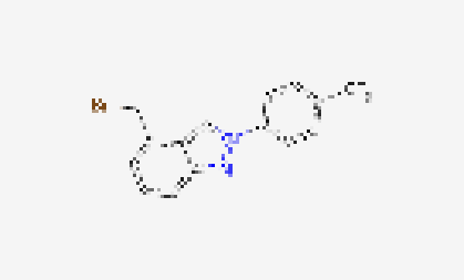 FC(F)(F)c1ccc(-n2cc3c(CBr)cccc3n2)cc1